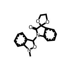 CN1OC(N2C(=O)C3(OCCO3)c3ccccc32)c2ccccc21